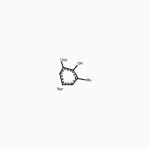 CC(C)(C)c1cccc(C(=O)[O-])c1O.[Na+]